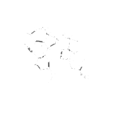 COc1ccc(C#N)c(-c2c(-c3cn(CC(=O)O)nc3C(F)(F)F)[nH]c3ncccc23)c1